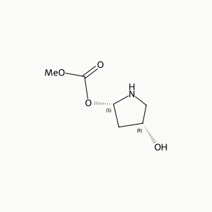 COC(=O)O[C@H]1C[C@@H](O)CN1